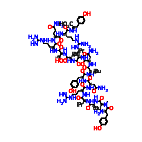 CC[C@H](C)[C@H](NC(=O)[C@H](Cc1ccc(O)cc1)NC(=O)[C@H](CC(N)=O)NC(=O)[C@H](CCCNC(=N)N)NC(=O)[C@@H](NC(=O)[C@H](C)NC(=O)[C@@H](N(C)C(=O)[C@@H](N)Cc1ccc(O)cc1)C(C)(C)C)C(C)C)C(=O)N[C@@H](CC(N)=O)C(=O)N[C@@H](CC(C)C)C(=O)N[C@H](C(=O)N[C@H](C(=O)N[C@@H](CCCNC(=N)N)C(=O)N[C@@H](CCC(N)=O)C(=O)N[C@@H](CCCNC(=N)N)C(=O)N[C@@H](Cc1ccc(O)cc1)C(=O)O)[C@@H](C)O)[C@@H](C)CC